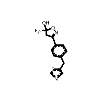 OC1(C(F)(F)F)CC(c2ccc(Cc3cncs3)cc2)=NO1